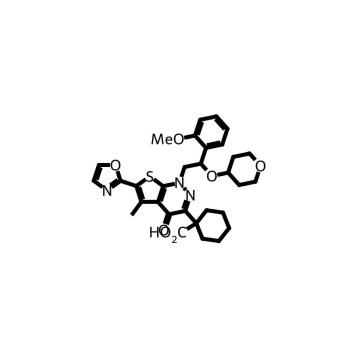 COc1ccccc1C(Cn1nc(C2(C(=O)O)CCCCC2)c(=O)c2c(C)c(-c3ncco3)sc21)OC1CCOCC1